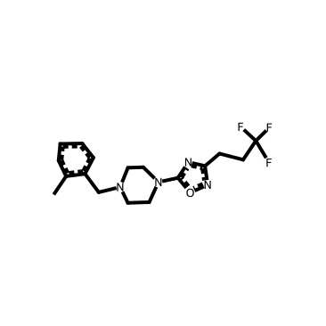 Cc1ccccc1CN1CCN(c2nc(CCC(F)(F)F)no2)CC1